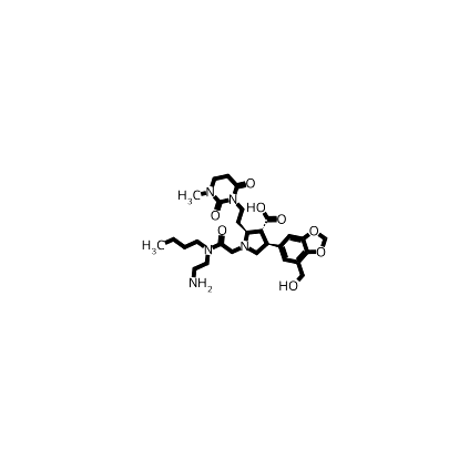 CCCCN(CCN)C(=O)CN1C[C@H](c2cc(CO)c3c(c2)OCO3)[C@@H](C(=O)O)[C@@H]1CCN1C(=O)CCN(C)C1=O